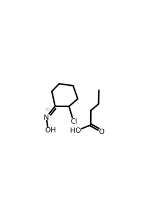 CCCC(=O)O.O/N=C1/CCCCC1Cl